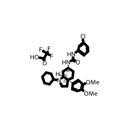 COc1ccc([C@@]23CC[C@@H](NC(=O)Nc4cccc(Cl)c4)C[C@@H]2N(C2CCCCC2)CC3)cc1OC.O=C(O)C(F)(F)F